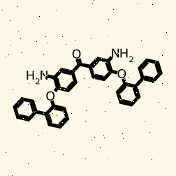 Nc1cc(C(=O)c2ccc(Oc3ccccc3-c3ccccc3)c(N)c2)ccc1Oc1ccccc1-c1ccccc1